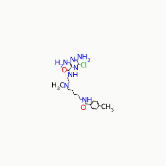 Cc1ccc(C(=O)NCCCCCN(C)CCNC(=O)c2nc(Cl)c(N)nc2N)cc1